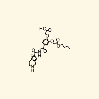 CCCCOC(=O)COc1cc(C(=O)CNC(=O)c2cc3c(s2)CCNC3)ccc1OCC(=O)O